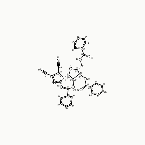 N#Cc1ncn([C@@H]2O[C@H](COC(=O)c3ccccc3)[C@@H](OC(=O)c3ccccc3)[C@H]2OC(=O)c2ccccc2)c1C#N